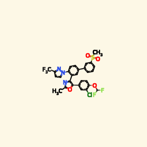 Cc1nc(-c2cc(-c3cccc(S(C)(=O)=O)c3)ccc2-n2ccc(C(F)(F)F)n2)c(-c2ccc(OC(F)F)c(Cl)c2)o1